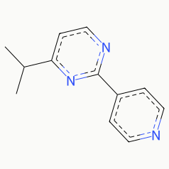 CC(C)c1ccnc(-c2ccncc2)n1